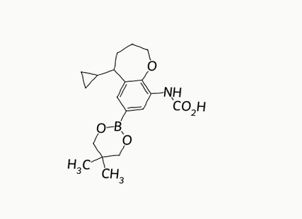 CC1(C)COB(c2cc(NC(=O)O)c3c(c2)C(C2CC2)CCCO3)OC1